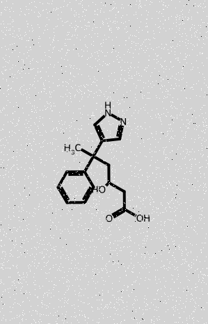 CC(CC(O)CC(=O)O)(c1ccccc1)c1cn[nH]c1